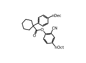 CCCCCCCCCCc1ccc(C2(C(=O)Oc3ccc(CCCCCCCC)cc3C#N)CCCCC2)cc1